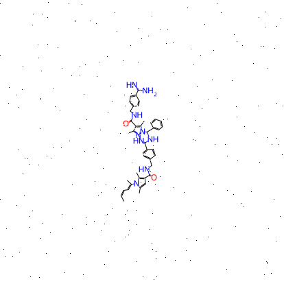 C/C=C\C=C(/C)n1c(C)cc(C(=O)NCc2ccc(C(=N)NC(c3ccccc3)n3nc(C)c(C(=O)NCc4ccc(C(=N)N)cc4)c3C)cc2)c1C